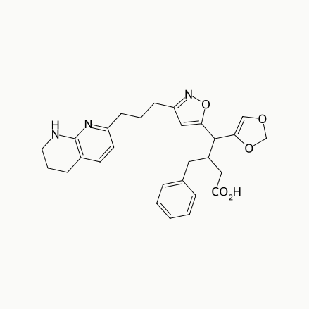 O=C(O)CC(Cc1ccccc1)C(C1=COCO1)c1cc(CCCc2ccc3c(n2)NCCC3)no1